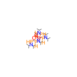 CC(C)N(PC(O[PH](=O)OC(PN(C(C)C)C(C)C)PN(C(C)C)C(C)C)PN(C(C)C)C(C)C)C(C)C